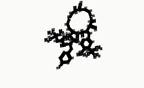 CN(C(=O)C(Cc1ccc(F)cc1)NC(=O)OC(C)(C)C)C1CCCCNC(=O)CCCNC(=O)C(Cc2ccc(O)c(C(C)(C)C)c2)NC1=O